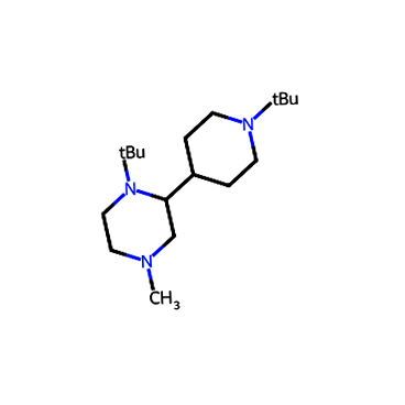 CN1CCN(C(C)(C)C)C(C2CCN(C(C)(C)C)CC2)C1